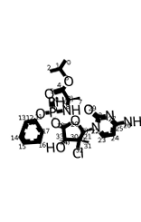 CC(C)OC(=O)[C@@H](C)NP(=P)(Oc1ccccc1)OC1O[C@@H](n2ccc(N)nc2=O)[C@](C)(Cl)[C@@H]1O